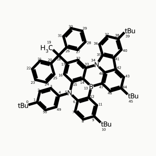 CC(C)(C)c1ccc(N2c3ccc(C(C)(C)C)cc3B3c4c2cc(C(C)(c2ccccc2)c2ccccc2)cc4-n2c4ccc(C(C)(C)C)cc4c4cc(C(C)(C)C)cc3c42)cc1